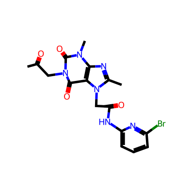 CC(=O)Cn1c(=O)c2c(nc(C)n2CC(=O)Nc2cccc(Br)n2)n(C)c1=O